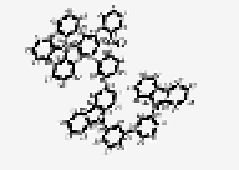 O=P(c1ccccc1)(c1ccc(-c2ccc3c(c2)c2ccccc2n3-c2cccc(-c3cccc(-n4c5ccccc5c5ccccc54)c3)c2)cc1)c1ccc([Si](c2ccccc2)(c2ccccc2)c2ccccc2)cc1